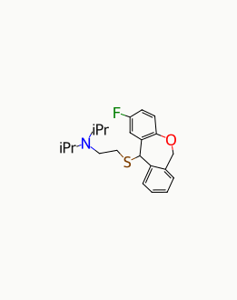 CC(C)N(CCSC1c2ccccc2COc2ccc(F)cc21)C(C)C